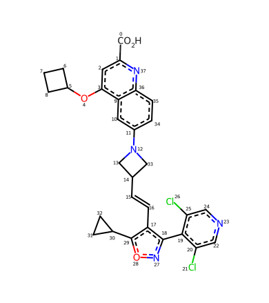 O=C(O)c1cc(OC2CCC2)c2cc(N3CC(/C=C/c4c(-c5c(Cl)cncc5Cl)noc4C4CC4)C3)ccc2n1